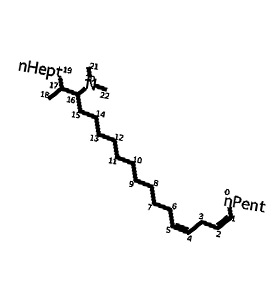 CCCCC/C=C\C/C=C\CCCCCCCCCCC(C(C)CCCCCCC)N(C)C